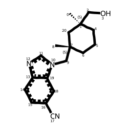 C[C@]1(CO)CCC[C@](C)(Cn2cnc3ccc(C#N)cc32)C1